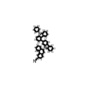 N#Cc1ccc2cc(-n3c4ccccc4c4ccc(-c5cccc6c5c5ccccc5n6-c5ccccc5)cc43)c3ccccc3c2c1